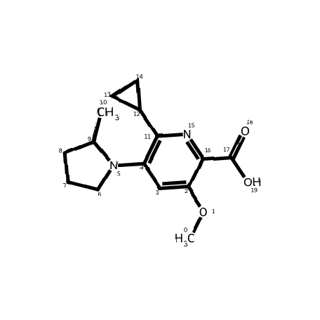 COc1cc(N2CCCC2C)c(C2CC2)nc1C(=O)O